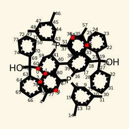 Cc1cc(C)cc(P(c2cc(C)cc(C)c2)c2cc(C(O)(c3ccccc3)c3ccccc3)c3ccccc3c2-c2c(P(c3cc(C)cc(C)c3)c3cc(C)cc(C)c3)cc(C(O)(c3ccccc3)c3ccccc3)c3ccccc23)c1